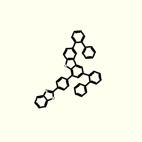 c1ccc(-c2ccccc2-c2ccc3oc4c(-c5ccc(-c6nc7ccccc7o6)cc5)cc(-c5ccccc5-c5ccccc5)cc4c3c2)cc1